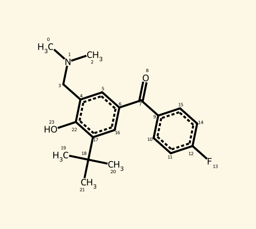 CN(C)Cc1cc(C(=O)c2ccc(F)cc2)cc(C(C)(C)C)c1O